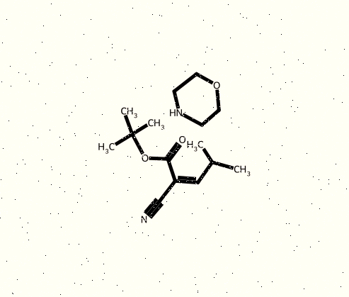 C1COCCN1.CC(C)C=C(C#N)C(=O)OC(C)(C)C